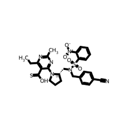 CCc1nc(C)nc(N2CCC[C@H]2CN(Cc2ccc(C#N)cc2)S(=O)(=O)c2ccccc2[N+](=O)[O-])c1C(O)=S